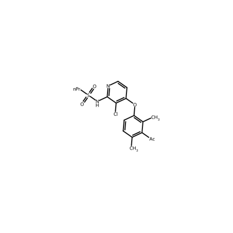 CCCS(=O)(=O)Nc1nccc(Oc2ccc(C)c(C(C)=O)c2C)c1Cl